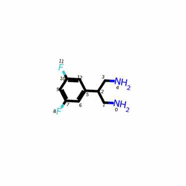 NCC(CN)c1cc(F)cc(F)c1